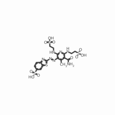 Cc1c(N=Nc2nc3ccc(S(=O)(=O)O)cc3s2)c(NCCS(=O)(=O)O)nc(NCCS(=O)(=O)O)c1C(N)=O